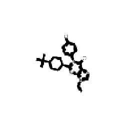 CCn1cnc2c(=O)n(-c3ccc(Cl)cc3)c(C3CCC(C(C)(C)C)CC3)nc21